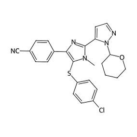 Cn1c(-c2ccnn2C2CCCCO2)nc(-c2ccc(C#N)cc2)c1Sc1ccc(Cl)cc1